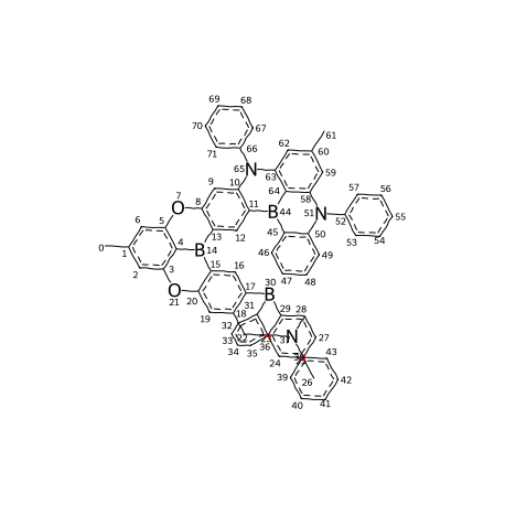 Cc1cc2c3c(c1)Oc1cc4c(cc1B3c1cc3c(cc1O2)Cc1cc(C)cc2c1B3c1ccccc1N2c1ccccc1)B1c2ccccc2N(c2ccccc2)c2cc(C)cc(c21)N4c1ccccc1